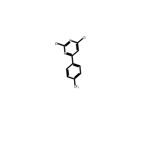 FC(F)(F)c1ccc(-c2cc(Cl)nc(Cl)n2)cc1